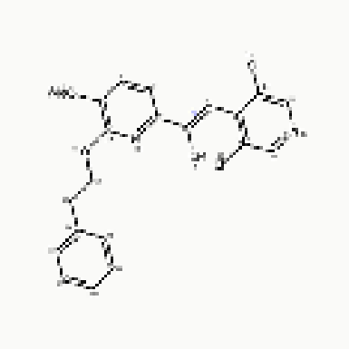 COc1ccc(/C(C#N)=C/c2c(Cl)cncc2Cl)nc1OCCc1ccccc1